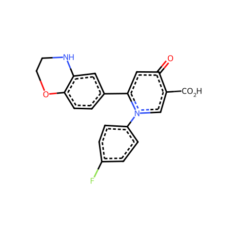 O=C(O)c1cn(-c2ccc(F)cc2)c(-c2ccc3c(c2)NCCO3)cc1=O